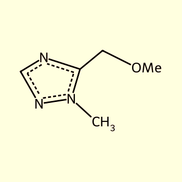 COCc1ncnn1C